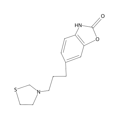 O=c1[nH]c2ccc(CCCN3CCSC3)cc2o1